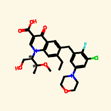 CCc1cc2c(cc1Cc1cc(N3CCOCC3)cc(Cl)c1F)c(=O)c(C(=O)O)cn2[C@H](CO)[C@H](C)OC